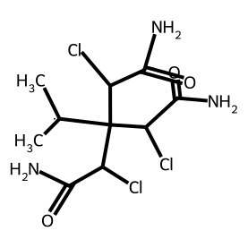 C[C](C)C(C(Cl)C(N)=O)(C(Cl)C(N)=O)C(Cl)C(N)=O